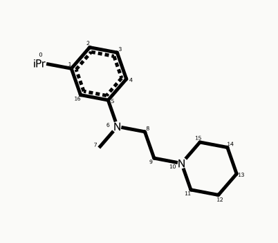 CC(C)c1cccc(N(C)CCN2CCCCC2)c1